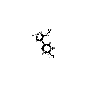 O=Nc1n[nH]cc1-c1cnc(Cl)nc1